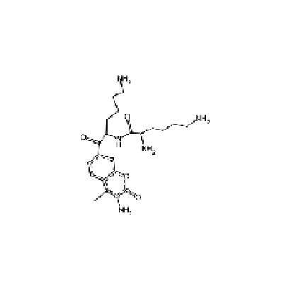 Cc1c(N)c(=O)oc2cc(C(=O)C(CCCCN)NC(=O)C(N)CCCCN)ccc12